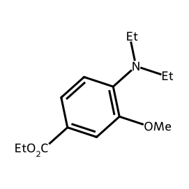 CCOC(=O)c1ccc(N(CC)CC)c(OC)c1